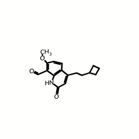 COc1ccc2c(CCC3CCC3)cc(=O)[nH]c2c1C=O